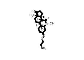 C[C@]12CCC(=NOCCN)CC1NC(=O)[C@@H]1[C@@H]2CC[C@]2(C)C(=O)CC[C@@H]12.Cl